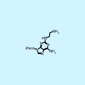 CCCC(C)n1cnc2c(N)nc(NCCN)nc21